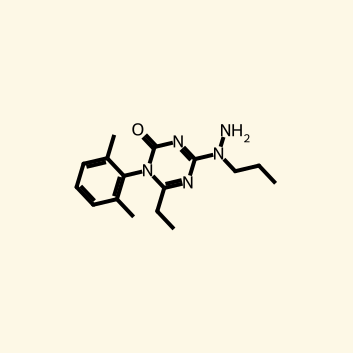 CCCN(N)c1nc(CC)n(-c2c(C)cccc2C)c(=O)n1